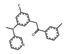 Cc1cccc(C(=O)Cc2cc(F)cc(N(C)c3cccnc3)c2)c1